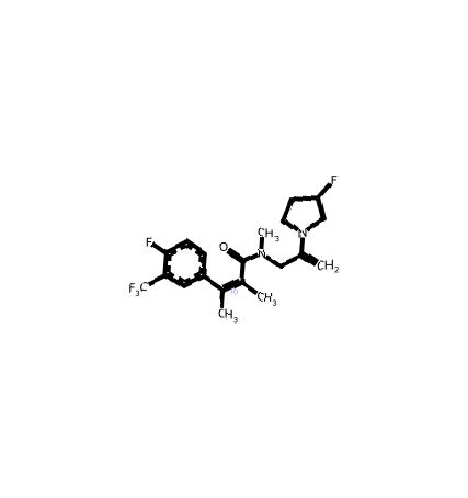 C=C(CN(C)C(=O)/C(C)=C(/C)c1ccc(F)c(C(F)(F)F)c1)N1CCC(F)C1